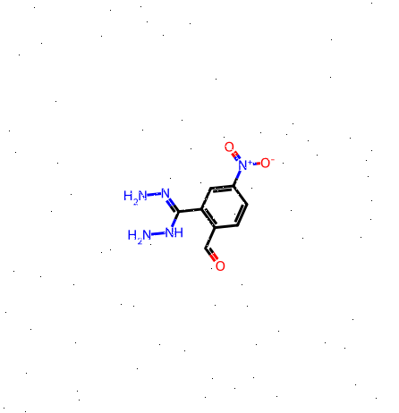 N/N=C(\NN)c1cc([N+](=O)[O-])ccc1C=O